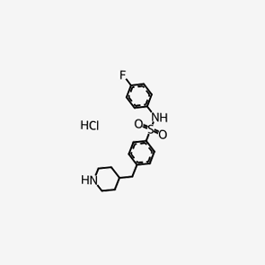 Cl.O=S(=O)(Nc1ccc(F)cc1)c1ccc(CC2CCNCC2)cc1